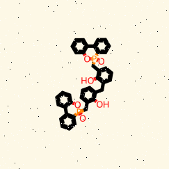 O=P1(Cc2cccc(Cc3cccc(CP4(=O)Oc5ccccc5-c5ccccc54)c3O)c2O)Oc2ccccc2-c2ccccc21